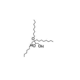 CCCCCCCCOC(CCCCCCCC)(CCCCCCCC)C(O)CO